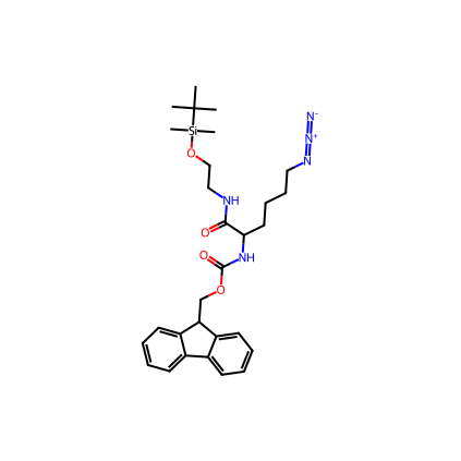 CC(C)(C)[Si](C)(C)OCCNC(=O)C(CCCCN=[N+]=[N-])NC(=O)OCC1c2ccccc2-c2ccccc21